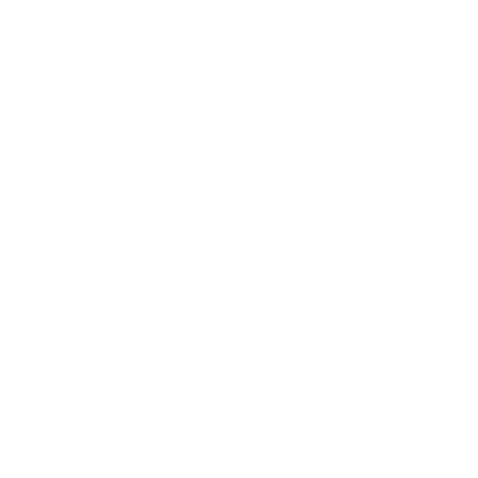 CCCCCCCCOc1ccccc1[S+](c1ccccc1)c1ccccc1OCCCCCCCC.O=S(=O)([O-])C(F)(F)F